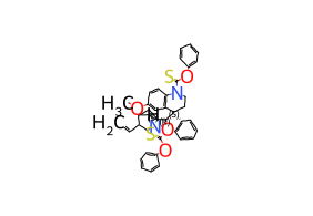 C=CC1CN2CCC1C[C@H]2[C@H](OC(=S)Oc1ccccc1)[C@]1(c2ccccc2)CCN(C(=S)Oc2ccccc2)c2ccc(OC)cc21